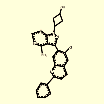 Nc1ncnc2c1c(-c1cc3nc(-c4ccccc4)ccc3cc1Cl)nn2C1CC(O)C1